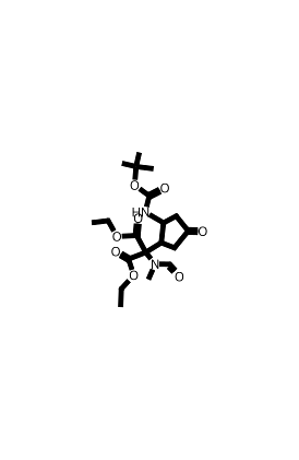 CCOC(=O)C(C(=O)OCC)(C1CC(=O)CC1NC(=O)OC(C)(C)C)N(C)C=O